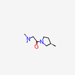 C[C@@H]1CCN(C(=O)CN(C)C)C1